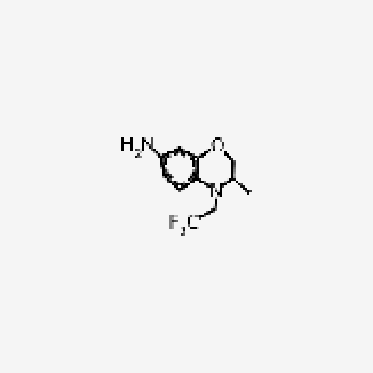 C[C@@H]1COc2cc(N)ccc2N1CC(F)(F)F